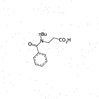 CCCCN(CCC(=O)O)C(=O)c1ccccc1